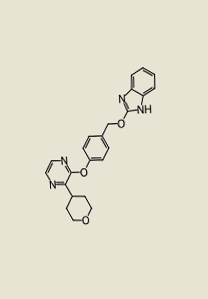 c1ccc2[nH]c(OCc3ccc(Oc4nccnc4C4CCOCC4)cc3)nc2c1